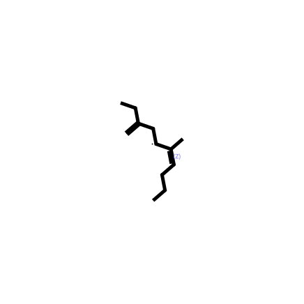 C=C(CC)C[CH]/C(C)=C\CCC